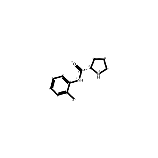 [CH2]c1ccccc1NC(=O)[C@@H]1CCCN1